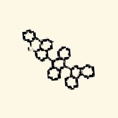 c1ccc2c(c1)Oc1ccc(-c3c4ccccc4c(-c4cc5ccccc5c5ccccc45)c4ccccc34)c3cccc-2c13